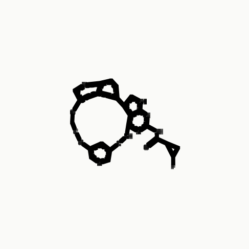 O=C(Nc1nc2c3c(c[nH]c3n1)-c1ccc3ncc(cc3c1)OCCOc1cncc(c1)CN2)C1CC1F